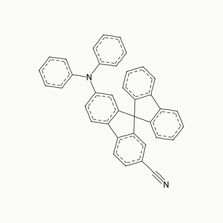 N#Cc1ccc2c(c1)C1(c3ccccc3-c3ccccc31)c1cc(N(c3ccccc3)c3ccccc3)ccc1-2